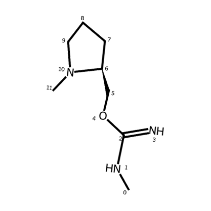 CNC(=N)OC[C@@H]1CCCN1C